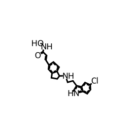 O=C(C=Cc1ccc2c(c1)CCC2NCCc1c[nH]c2ccc(Cl)cc12)NO